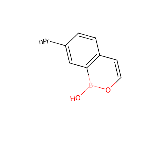 CCCc1ccc2c(c1)B(O)OC=C2